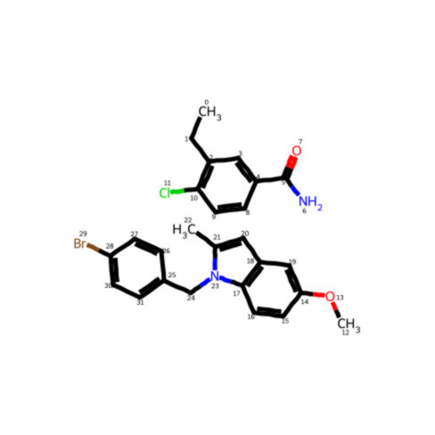 CCc1cc(C(N)=O)ccc1Cl.COc1ccc2c(c1)cc(C)n2Cc1ccc(Br)cc1